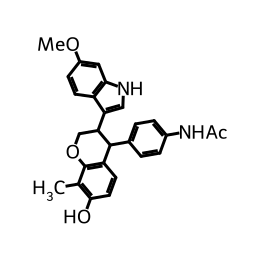 COc1ccc2c(C3COc4c(ccc(O)c4C)C3c3ccc(NC(C)=O)cc3)c[nH]c2c1